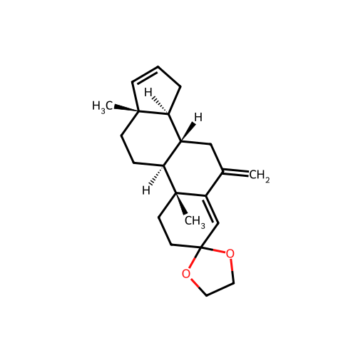 C=C1C[C@H]2[C@@H]3CC=C[C@@]3(C)CC[C@@H]2[C@@]2(C)CCC3(C=C12)OCCO3